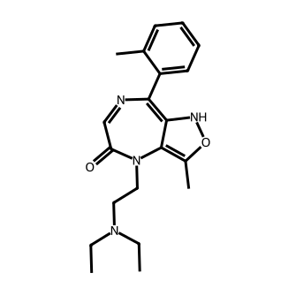 CCN(CC)CCN1C(=O)C=NC(c2ccccc2C)=C2NOC(C)=C21